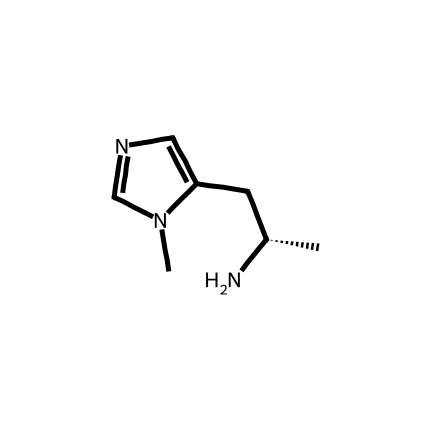 C[C@H](N)Cc1cncn1C